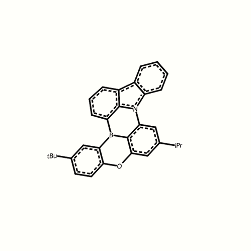 CC(C)c1cc2c3c(c1)-n1c4ccccc4c4cccc(c41)B3c1cc(C(C)(C)C)ccc1O2